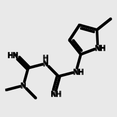 Cc1ccc(NC(=N)NC(=N)N(C)C)[nH]1